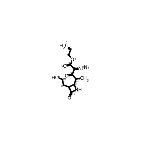 C=CCOC(=O)C(=[N+]=[N-])C(=O)C(C)C1NC(=O)C1CCO